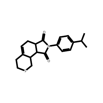 CC(C)c1ccc(N2C(=O)C3CC=C4CCSCC4C3C2=O)cc1